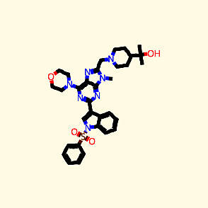 Cn1c(CN2CCC(C(C)(C)O)CC2)nc2c(N3CCOCC3)nc(-c3cn(S(=O)(=O)c4ccccc4)c4ccccc34)nc21